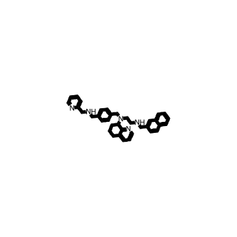 c1ccc(CNCc2ccc(CN(CCNCc3ccc4ccccc4c3)C3CCCc4cccnc43)cc2)nc1